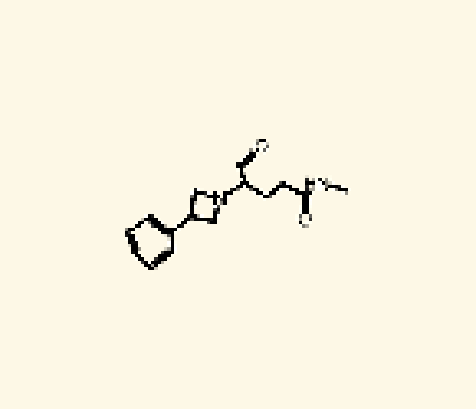 CNC(=O)CCC(C=O)N1CC(c2ccccc2)C1